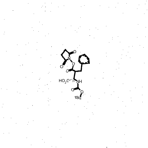 CC(C)(C)OC(=O)N[C@H](C(=O)O)C(Cc1ccccc1)C(=O)ON1C(=O)CCC1=O